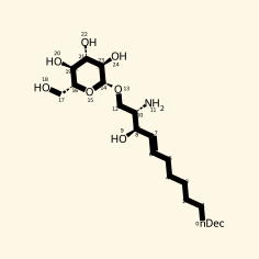 CCCCCCCCCCCCCCC/C=C/[C@@H](O)[C@@H](N)CO[C@@H]1O[C@H](CO)[C@@H](O)[C@H](O)[C@H]1O